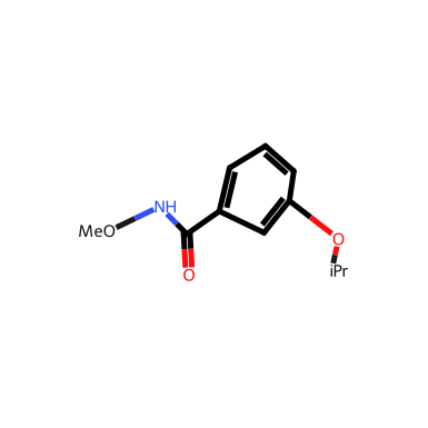 CONC(=O)c1cccc(OC(C)C)c1